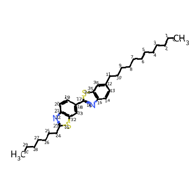 CCCCCCCCCCCCc1ccc2nc(-c3ccc4nc(CCCCCCC)sc4c3)sc2c1